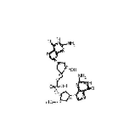 Nc1nc2c(ncn2[C@@H]2C[C@H](CO)[C@@H](OP(=O)(O)OC[C@H]3C[C@@H](n4cnc5c(=O)[nH]c(N)nc54)C[C@@H]3O)C2)c(=O)[nH]1